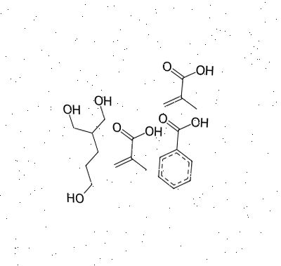 C=C(C)C(=O)O.C=C(C)C(=O)O.O=C(O)c1ccccc1.OCCCC(CO)CO